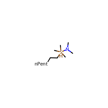 CCCCCCC[SH](C)(C)(C)N(C)C